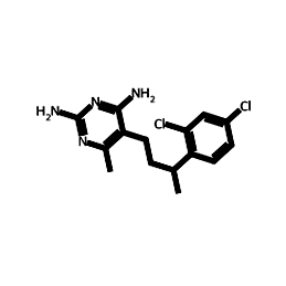 Cc1nc(N)nc(N)c1CCC(C)c1ccc(Cl)cc1Cl